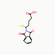 O=C(O)CCCC(S)N1C(=O)c2ccccc2C1=O